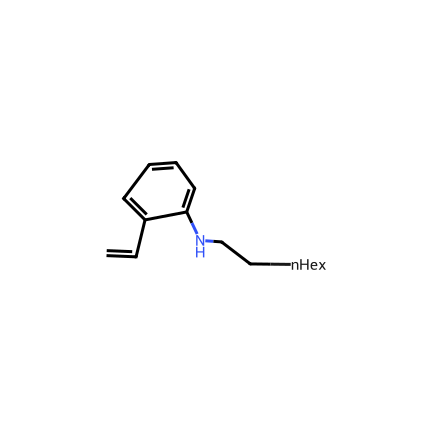 C=Cc1ccccc1NCCCCCCCC